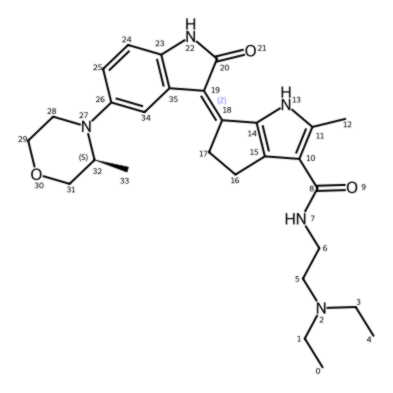 CCN(CC)CCNC(=O)c1c(C)[nH]c2c1CC/C2=C1/C(=O)Nc2ccc(N3CCOC[C@@H]3C)cc21